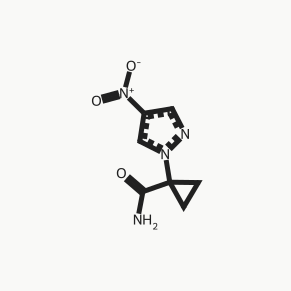 NC(=O)C1(n2cc([N+](=O)[O-])cn2)CC1